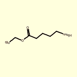 [CH]C(C)(C)COC(=O)CCCCCCCCCCC